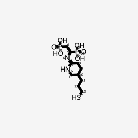 O=P(O)(O)CC(N=C1CCC(CCCS)CN1)P(=O)(O)O